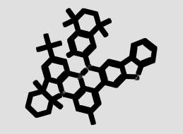 Cc1cc2c3c(c1)N1c4c(cc(C(C)(C)C)cc4C4(C)CCCCC14C)B3N(c1cc3c(cc1C)C(C)(C)CCC3(C)C)c1cc3c(cc1-2)sc1ccccc13